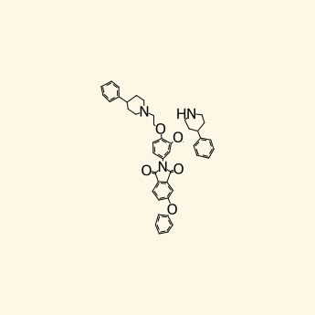 COc1cc(N2C(=O)c3ccc(Oc4ccccc4)cc3C2=O)ccc1OCCN1CCC(c2ccccc2)CC1.c1ccc(C2CCNCC2)cc1